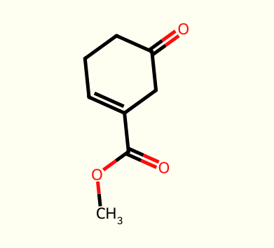 COC(=O)C1=CCCC(=O)C1